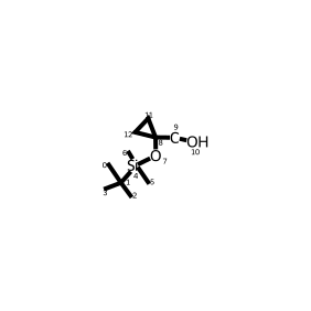 CC(C)(C)[Si](C)(C)OC1(CO)CC1